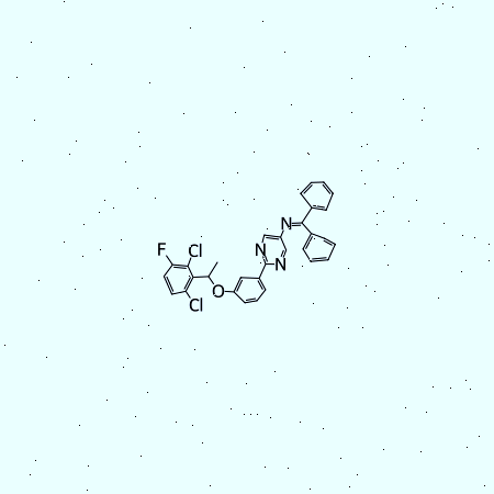 CC(Oc1cccc(-c2ncc(N=C(c3ccccc3)c3ccccc3)cn2)c1)c1c(Cl)ccc(F)c1Cl